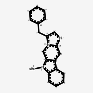 CCCCn1c2ccccc2c2cc3ncc(Cc4ccccc4)n3cc21